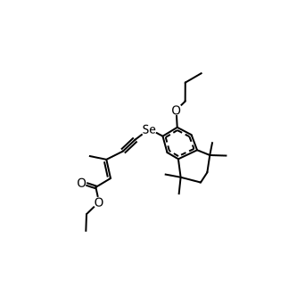 CCCOc1cc2c(cc1[Se]C#CC(C)=CC(=O)OCC)C(C)(C)CCC2(C)C